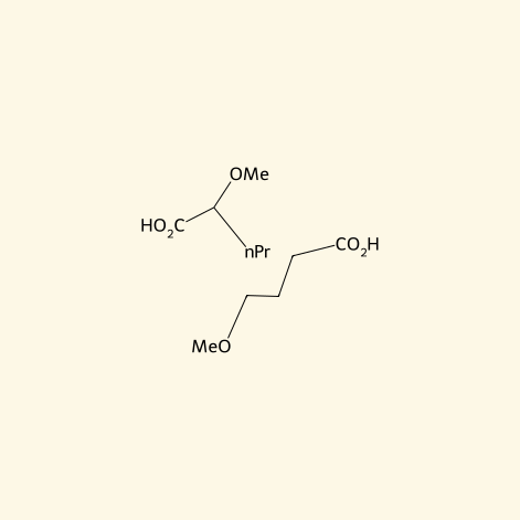 CCCC(OC)C(=O)O.COCCCC(=O)O